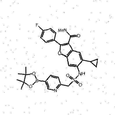 CNC(=O)c1c(-c2ccc(F)cc2)oc2cc(NS(=O)(=O)Cc3ccc(B4OC(C)(C)C(C)(C)O4)cn3)c(C3CC3)cc12